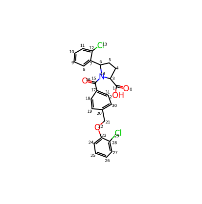 O=C(O)C1CCC(c2ccccc2Cl)N1C(=O)c1ccc(COc2ccccc2Cl)cc1